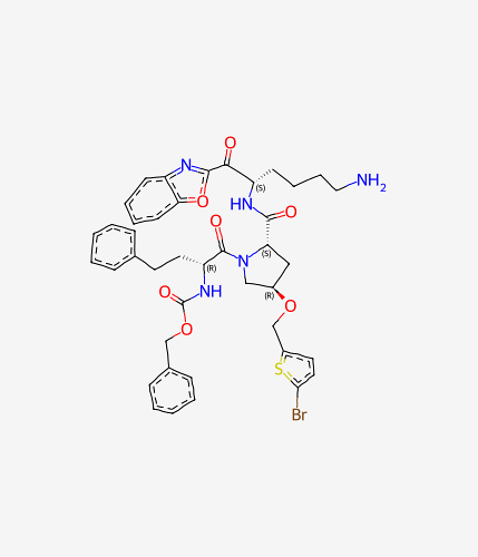 NCCCC[C@H](NC(=O)[C@@H]1C[C@@H](OCc2ccc(Br)s2)CN1C(=O)[C@@H](CCc1ccccc1)NC(=O)OCc1ccccc1)C(=O)c1nc2ccccc2o1